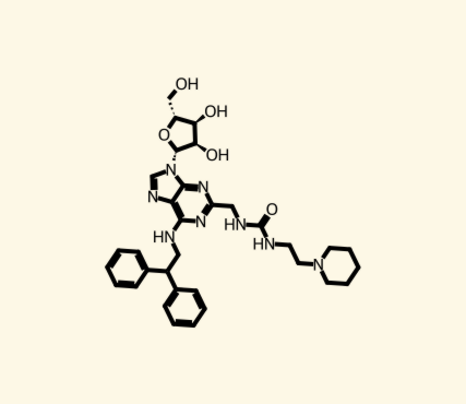 O=C(NCCN1CCCCC1)NCc1nc(NCC(c2ccccc2)c2ccccc2)c2ncn([C@@H]3O[C@H](CO)[C@@H](O)[C@H]3O)c2n1